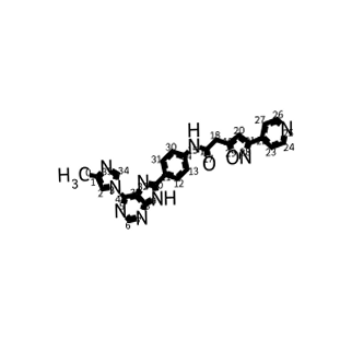 Cc1cn(-c2ncnc3[nH]c(-c4ccc(NC(=O)Cc5cc(-c6ccncc6)no5)cc4)nc23)cn1